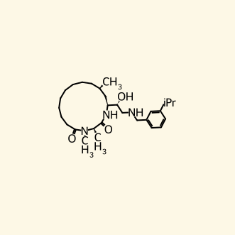 CC(C)c1cccc(CNC[C@@H](O)[C@@H]2C[C@H](C)CCCCCCCCC(=O)N(C)[C@H](C)C(=O)N2)c1